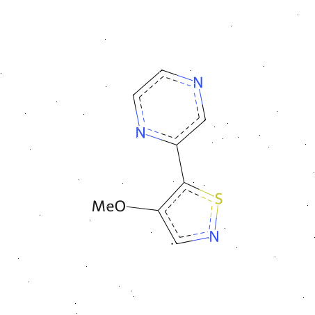 COc1[c]nsc1-c1cnccn1